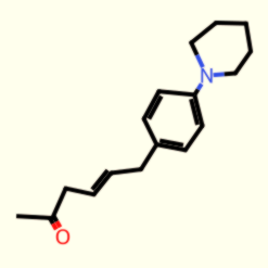 CC(=O)CC=CCc1ccc(N2CCCCC2)cc1